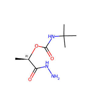 C[C@@H](OC(=O)NC(C)(C)C)C(=O)NN